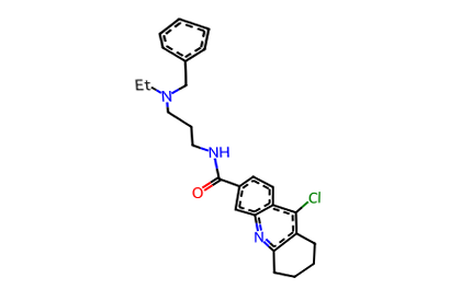 CCN(CCCNC(=O)c1ccc2c(Cl)c3c(nc2c1)CCCC3)Cc1ccccc1